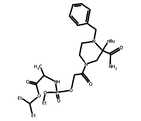 CCCCC1(C(N)=O)CN(C(=O)COP(=O)(NC(C)C(=O)OC(CC)CC)OCC)CCN1Cc1ccccc1